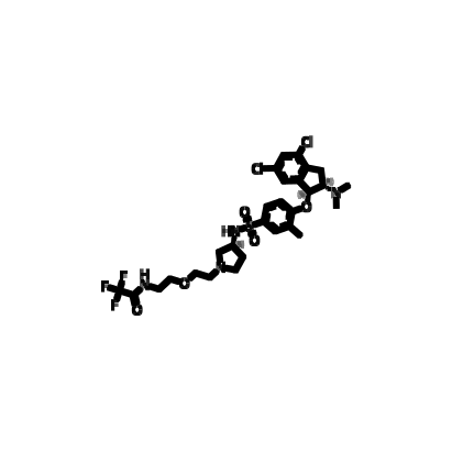 Cc1cc(S(=O)(=O)N[C@H]2CCN(CCOCCNC(=O)C(F)(F)F)C2)ccc1O[C@H]1c2cc(Cl)cc(Cl)c2C[C@@H]1N(C)C